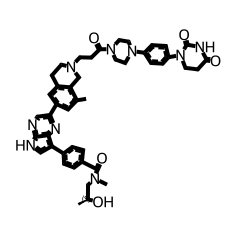 Cc1cc(-c2cnc3[nH]cc(-c4ccc(C(=O)N(C)C[C@H](C)O)cc4)c3n2)cc2c1CN(CCC(=O)N1CCN(c3ccc(N4CCC(=O)NC4=O)cc3)CC1)CC2